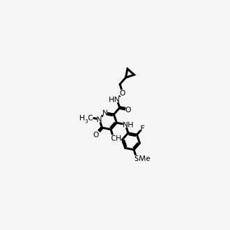 CSc1ccc(Nc2c(C(=O)NOCC3CC3)nn(C)c(=O)c2C)c(F)c1